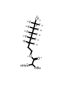 CCCCCCC(CCCC)C(=O)OCCC(F)(F)C(F)(F)C(F)(F)C(F)(F)C(F)(F)C(F)(F)F